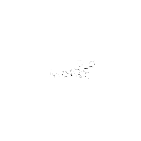 CN(C)[C@@H]1CCN(c2ccc(S(=O)(=O)N3CC(=O)N(c4cc(-c5ccccc5)sc4C(=O)O)[C@H](C4CCCCC4)C3)cn2)C1